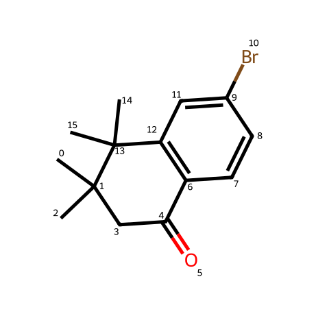 CC1(C)CC(=O)c2ccc(Br)cc2C1(C)C